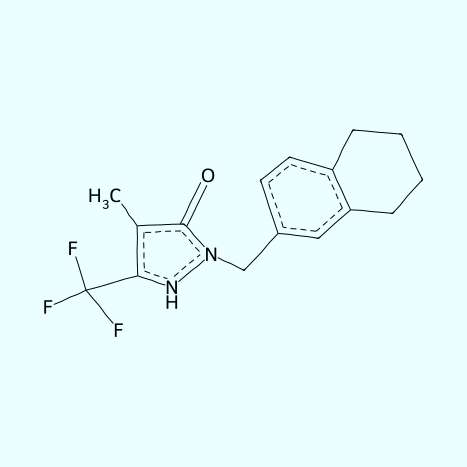 Cc1c(C(F)(F)F)[nH]n(Cc2ccc3c(c2)CCCC3)c1=O